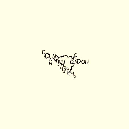 CNc1nc(Nc2ccc(F)cc2)ncc1C#CCCCNC(=O)[C@@H]1C[C@@H](O)CN1C(=O)/C=C/CN(C)C